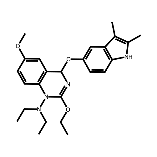 CCOC1=NC(Oc2ccc3[nH]c(C)c(C)c3c2)c2cc(OC)ccc2N1N(CC)CC